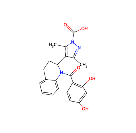 Cc1nn(C(=O)O)c(C)c1C1CCc2ccccc2N1C(=O)c1ccc(O)cc1O